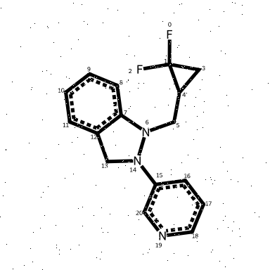 FC1(F)CC1CN1c2ccccc2CN1c1cccnc1